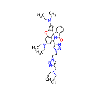 C#CCN(CC#C)Cc1cn(CCn2cc(CN3C(=O)c4ccccc4C34c3ccc(N(CC)CC)cc3Oc3cc(N(CC)CC)ccc34)nn2)nn1